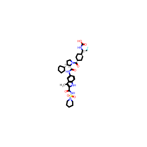 Cc1c(C(=O)NS(=O)(=O)N2CCCCC2)[nH]c2ccc(NC(=O)[C@@H]3[C@H](C4CCCCC4)CCN3C(=O)[C@H]3CC[C@H]([C@@H](CF)NC(=O)O)CC3)cc12